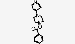 O=C(ON1CCN(c2ccncc2)CC1)c1ccccc1